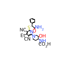 CCc1c(C#N)c(S[C@@H](C(N)=O)c2ccccc2)nc(N2CC[C@H](NC(=O)O)[C@H](O)C2)c1C#N